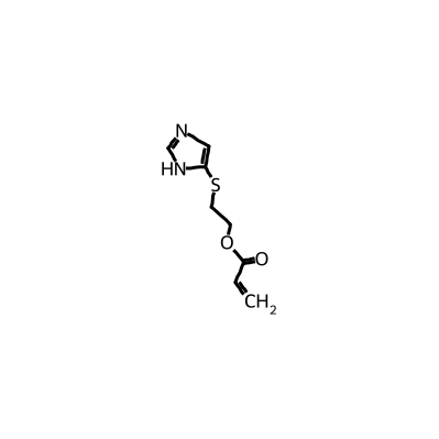 C=CC(=O)OCCSc1cnc[nH]1